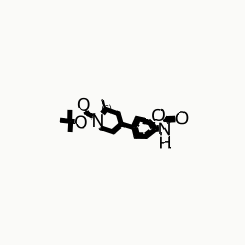 C[C@H]1CC(c2ccc3[nH]c(=O)oc3c2)CCN1C(=O)OC(C)(C)C